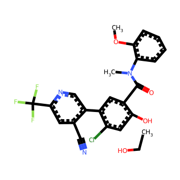 CCO.COc1ccccc1N(C)C(=O)c1cc(-c2cnc(C(F)(F)F)cc2C#N)c(Cl)cc1O